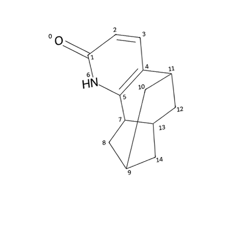 O=c1ccc2c([nH]1)C1CC3CC2CC1C3